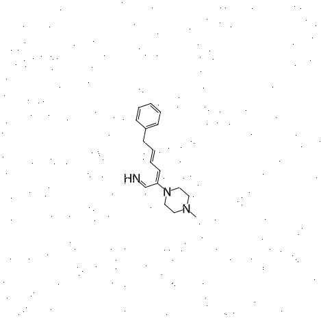 CN1CCN(/C(C=N)=C/C=C/Cc2ccccc2)CC1